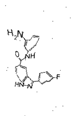 Nc1cccc(NC(=O)c2ccc3[nH]nc(-c4ccc(F)cc4)c3c2)c1